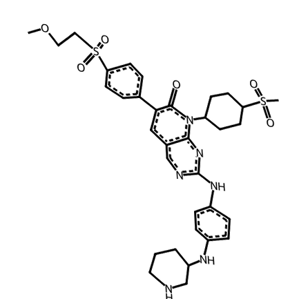 COCCS(=O)(=O)c1ccc(-c2cc3cnc(Nc4ccc(NC5CCCNC5)cc4)nc3n(C3CCC(S(C)(=O)=O)CC3)c2=O)cc1